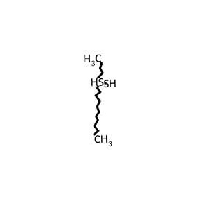 CCCCCCCCCCCC[SH](S)CCCCC